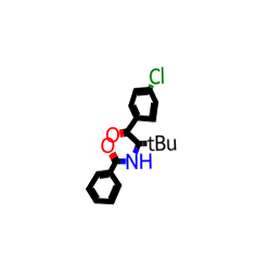 CC(C)(C)C(NC(=O)c1ccccc1)C(=O)c1ccc(Cl)cc1